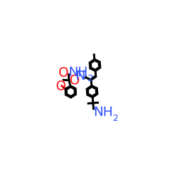 COC1(C(N)=O)COc2ccccc21.Cc1ccc(/C=C(\C#N)c2ccc(C(C)(C)CN)cc2)cc1